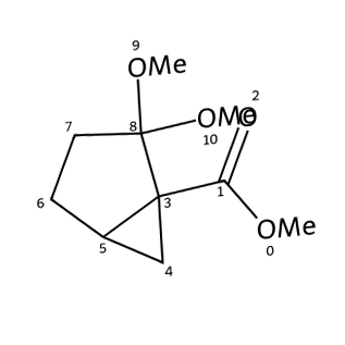 COC(=O)C12CC1CCC2(OC)OC